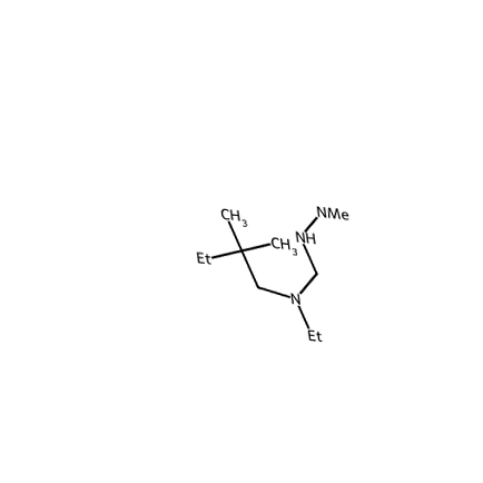 CCN(CNNC)CC(C)(C)CC